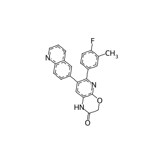 Cc1cc(-c2nc3c(cc2-c2ccc4ncccc4c2)NC(=O)CO3)ccc1F